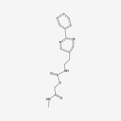 CNC(=O)COC(=O)NCCc1cnc(-c2ccccc2)nc1